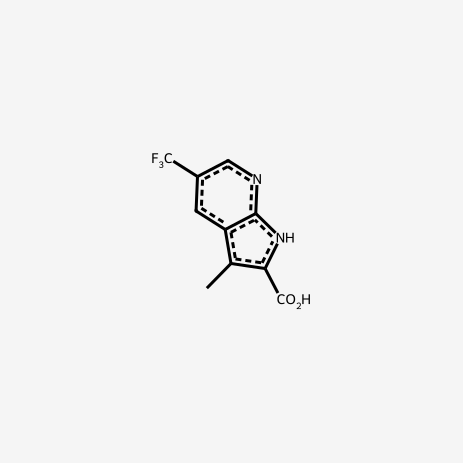 Cc1c(C(=O)O)[nH]c2ncc(C(F)(F)F)cc12